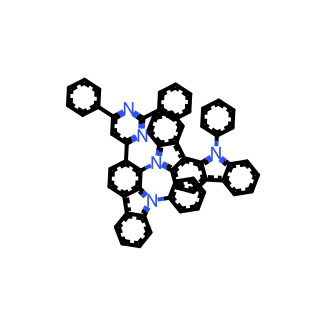 c1ccc(-c2cc(-c3ccc4c5ccccc5n(-c5ccccc5)c4c3-n3c4ccccc4c4c3ccc3c5ccccc5n(-c5ccccc5)c34)nc(-c3ccccc3)n2)cc1